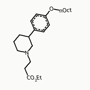 CCCCCCCCOc1ccc(C2CCCN(CCC(=O)OCC)C2)cc1